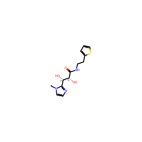 Cn1ccnc1[C@H](O)[C@@H](O)C(=O)NCCc1cccs1